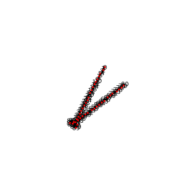 CCCCCCCCCCCCCCCCCCCCCCCCCCCCCCCCCCCCCCCCC1(CCCCCCCCCCCCCCCCCCCCCCCCCCCCCCCCCCCCCCCC)c2ccccc2-c2ccccc21